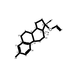 C=CO[C@@]1(C)CCC2C3CCc4cc(C)ccc4C3CC[C@@]21C